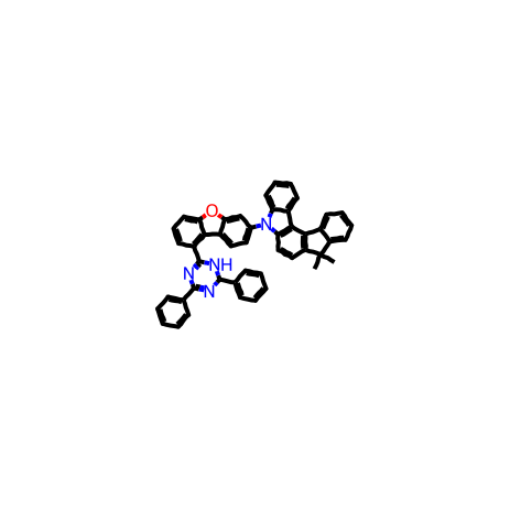 CC1(C)c2ccccc2-c2c1ccc1c2c2ccccc2n1-c1ccc2c(c1)oc1cccc(C3=NC(c4ccccc4)=NC(c4ccccc4)N3)c12